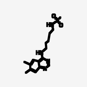 Cc1cc2ncnc(NCCCCCNS(C)(=O)=O)c2cc1C